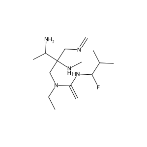 C=NCC(CN(CC)C(=C)NC(F)C(C)C)(NC)C(C)N